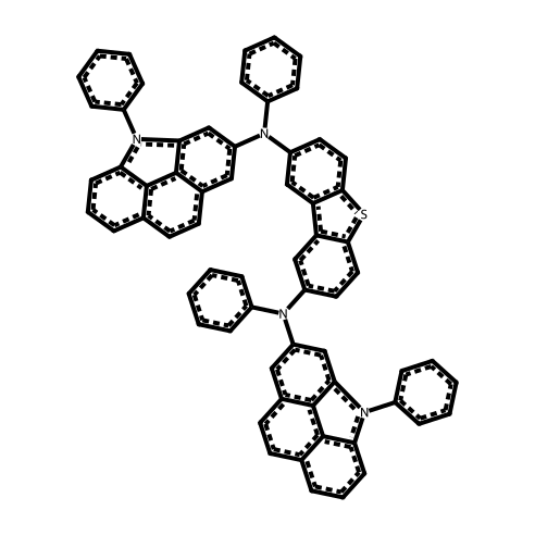 c1ccc(N(c2ccc3sc4ccc(N(c5ccccc5)c5cc6ccc7cccc8c7c6c(c5)n8-c5ccccc5)cc4c3c2)c2cc3ccc4cccc5c4c3c(c2)n5-c2ccccc2)cc1